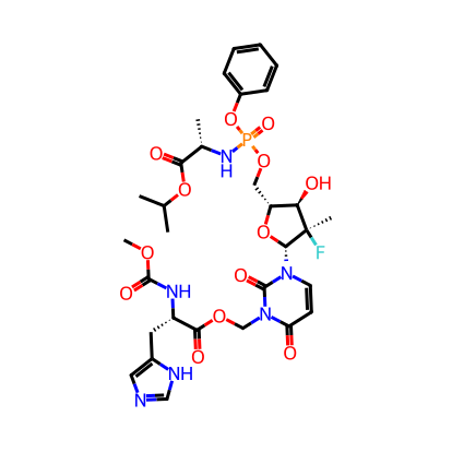 COC(=O)N[C@@H](Cc1cnc[nH]1)C(=O)OCn1c(=O)ccn([C@@H]2O[C@H](COP(=O)(N[C@@H](C)C(=O)OC(C)C)Oc3ccccc3)[C@@H](O)[C@@]2(C)F)c1=O